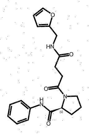 O=C(CCC(=O)N1CCC[C@H]1C(=O)Nc1ccccc1)NCc1ccco1